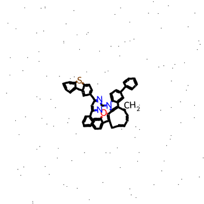 C=C1/C=C\C=C/Cc2c(oc3ccccc23)-c2c1c1cc(-c3ccccc3)ccc1n2-c1nc(-c2ccccc2)cc(-c2ccc3sc4ccccc4c3c2)n1